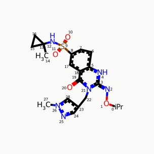 CC(C)ON=c1[nH]c2ccc(S(=O)(=O)NC3(C)CC3)cc2c(=O)n1Cc1cnn(C)c1